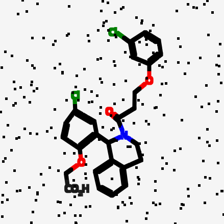 O=C(O)COc1ccc(Cl)cc1C1c2ccccc2CCN1C(=O)CCOc1cccc(Cl)c1